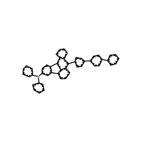 c1ccc(-c2ccc(-c3ccc(-c4c5ccccc5c5c6c(cccc46)-c4cc(N(c6ccccc6)c6ccccc6)ccc4-5)cc3)cc2)cc1